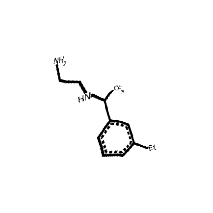 CCc1cccc(C(NCCN)C(F)(F)F)c1